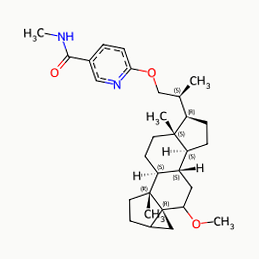 CNC(=O)c1ccc(OC[C@@H](C)[C@H]2CC[C@H]3[C@@H]4CC(OC)[C@]56CC5CC[C@]6(C)[C@H]4CC[C@]23C)nc1